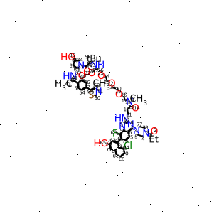 CCC(=O)N1CCN(c2nc(NCCC(=O)N(C)CCOCCOCCOCC(=O)N[C@H](C(=O)N3C[C@H](O)C[C@H]3C(=O)N[C@@H](C)c3ccc(-c4scnc4C)cc3)C(C)(C)C)nc3c(F)c(-c4cc(O)cc5ccccc45)c(Cl)cc23)CC1